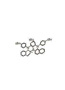 CC(C)(C)c1ccc(N2c3cc(C(C)(C)C)cc4c3B(c3ccc5ccccc5c32)C2(C)C=Cc3ccccc3C2N4c2ccc(C(C)(C)C)cc2)cc1